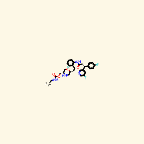 O=C(C[C@H](c1ccc(F)cc1)c1cncc(F)c1)Nc1cccc(F)c1CC[C@@H]1CN[C@H](COC(=O)NCC(F)(F)F)CO1